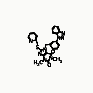 Cn1c(=O)c2c(nc(SCc3ccccn3)n2Cc2cccc(-n3nnc4ccccc43)c2)n(C)c1=O